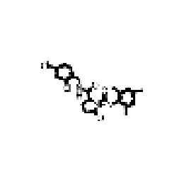 Cc1cc(C)c(NC(=O)N2C(=O)CCC2C(=O)NCc2ccc(Cl)cc2Cl)c(C)c1